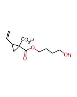 C=CC1CC1(C(=O)O)C(=O)OCCCCO